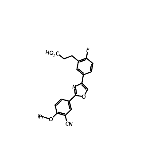 CC(C)Oc1ccc(-c2nc(-c3ccc(F)c(CCC(=O)O)c3)co2)cc1C#N